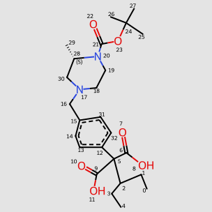 CCC(CC)C(C(=O)O)(C(=O)O)c1ccc(CN2CCN(C(=O)OC(C)(C)C)[C@@H](C)C2)cc1